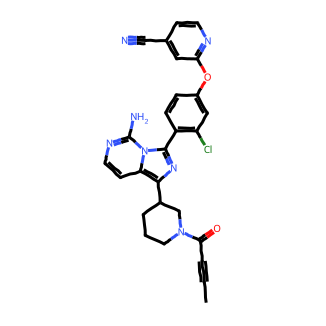 CC#CC(=O)N1CCCC(c2nc(-c3ccc(Oc4cc(C#N)ccn4)cc3Cl)n3c(N)nccc23)C1